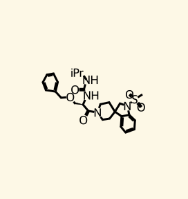 CC(C)NC(=O)N[C@H](COCc1ccccc1)C(=O)N1CCC2(CC1)CN(S(C)(=O)=O)c1ccccc12